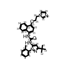 Cc1ccccc1-n1nc(C(C)(C)C)cc1NC(=O)Nc1ccc(OCCn2ccnc2)c2ccccc12